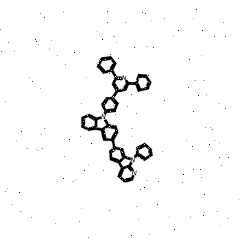 c1ccc(-c2cc(-c3ccc(-n4c5ccccc5c5cc(-c6ccc7c8cccnc8n(-c8ccccc8)c7c6)ccc54)cc3)cc(-c3ccccc3)n2)cc1